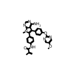 C=C(C)C(=O)Nc1ccc(-c2c(-c3ccc(Oc4ncc(OC)cn4)cc3)c3c(N)ncnc3n2C)cc1